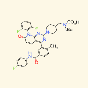 Cc1ccc(C(=O)Nc2ccc(F)cc2)cc1-c1nc(N2CCC(CN(C(=O)O)C(C)(C)C)CC2)nc2c1ccc(=O)n2-c1c(F)cccc1F